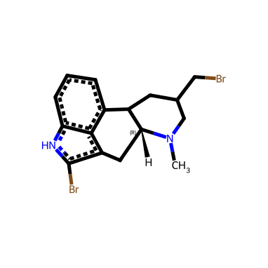 CN1CC(CBr)CC2c3cccc4[nH]c(Br)c(c34)C[C@H]21